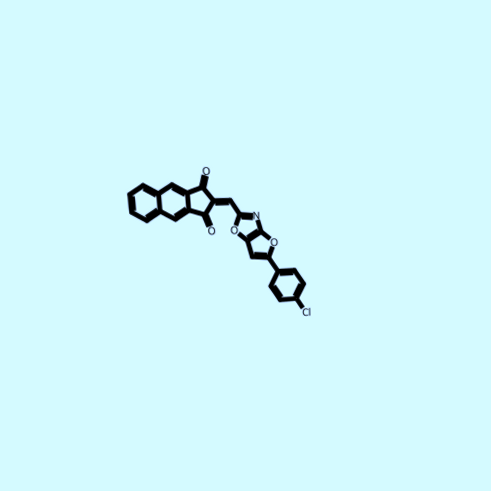 O=C1C(=Cc2nc3oc(-c4ccc(Cl)cc4)cc3o2)C(=O)c2cc3ccccc3cc21